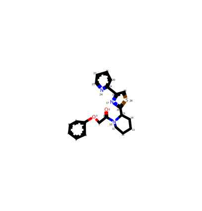 O=C(COc1ccccc1)N1CCCCC1c1nc(-c2ccccn2)cs1